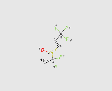 [CH2]C(F)(F)[S+]([O-])C=CC(F)(F)F